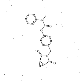 CN(C(=O)Oc1ccc(CN2C(=O)C3=CC3C2=O)cc1)c1ccccc1